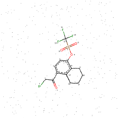 O=C(CBr)c1ccc(OS(=O)(=O)C(F)(F)F)c2c1CCCC2